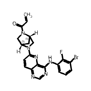 C=CC(=O)N1C[C@@H]2C[C@H]1CN2c1ccc2ncnc(Nc3cccc(Br)c3F)c2n1